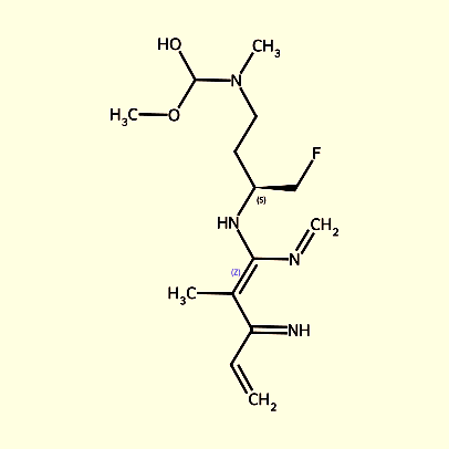 C=CC(=N)/C(C)=C(\N=C)N[C@H](CF)CCN(C)C(O)OC